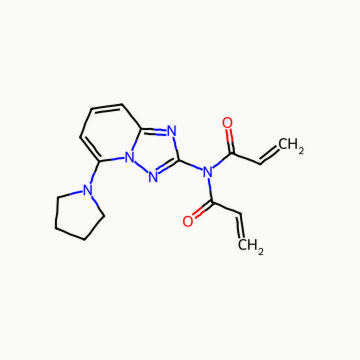 C=CC(=O)N(C(=O)C=C)c1nc2cccc(N3CCCC3)n2n1